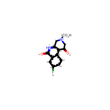 O=C1CN(C(=O)O)Cc2[nH]c(=O)c3cc(F)ccc3c21